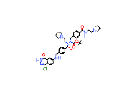 CC(C)(C)OC(=O)N(Cc1ccc(C(=O)NCCN2CCCC2)cc1)N(CCN1CCCC1)C(=O)c1ccc(CNc2ccc3c(Cl)n[nH]c(=O)c3c2)cc1